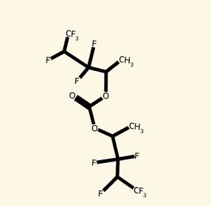 CC(OC(=O)OC(C)C(F)(F)C(F)C(F)(F)F)C(F)(F)C(F)C(F)(F)F